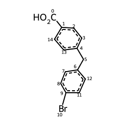 O=C(O)c1ccc(Cc2ccc(Br)cc2)cc1